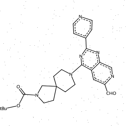 CC(C)(C)OC(=O)N1CCC2(CCN(c3nc(-c4ccncc4)nc4cnc(C=O)cc34)CC2)C1